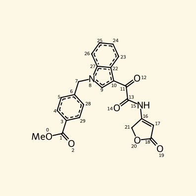 COC(=O)c1ccc(Cn2cc(C(=O)C(=O)NC3=CC(=O)OC3)c3ccccc32)cc1